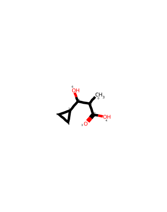 CC(C(=O)O)C(O)C1CC1